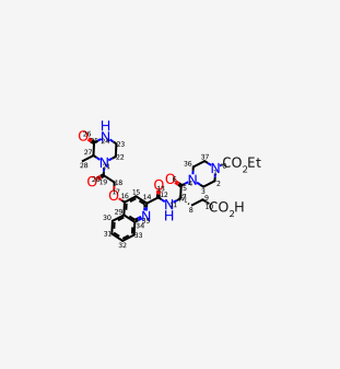 CCOC(=O)N1CCN(C(=O)[C@H](CCC(=O)O)NC(=O)c2cc(OCC(=O)N3CCNC(=O)C3C)c3ccccc3n2)CC1